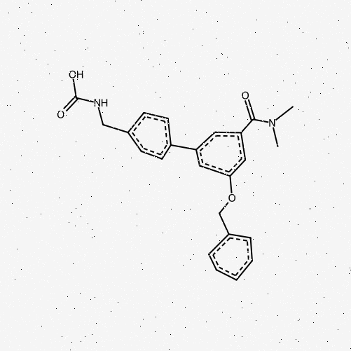 CN(C)C(=O)c1cc(OCc2ccccc2)cc(-c2ccc(CNC(=O)O)cc2)c1